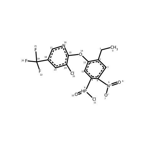 CCc1cc([N+](=O)[O-])c([PH](=O)Cl)cc1Oc1ncc(C(F)(F)F)cc1Cl